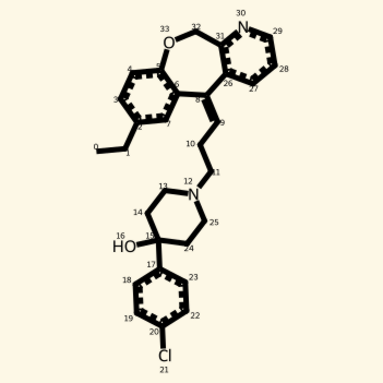 CCc1ccc2c(c1)C(=CCCN1CCC(O)(c3ccc(Cl)cc3)CC1)c1cccnc1CO2